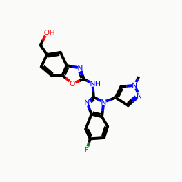 Cn1cc(-n2c(Nc3nc4cc(CO)ccc4o3)nc3cc(F)ccc32)cn1